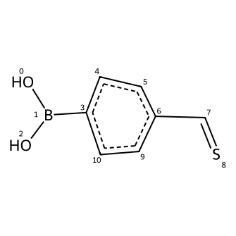 OB(O)c1ccc(C=S)cc1